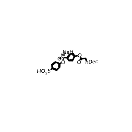 CCCCCCCCCCCC(=O)Oc1ccc(S(=O)(=O)Oc2ccc(S(=O)(=O)O)cc2)cc1.[NaH]